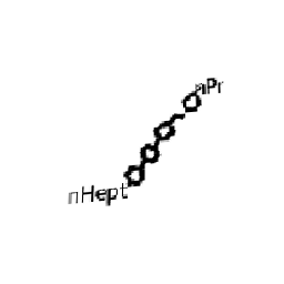 CCCCCCCc1ccc(-c2ccc(-c3ccc(CC[C@H]4CC[C@H](CCC)CC4)cc3)cc2)cc1